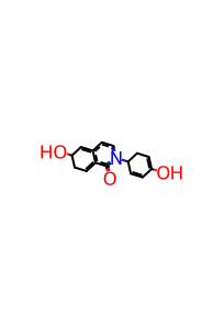 O=c1c2c(ccn1C1C=CC(O)=CC1)=CC(O)CC=2